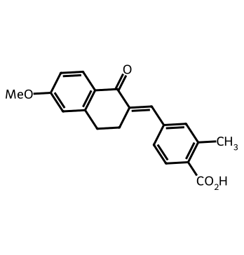 COc1ccc2c(c1)CCC(=Cc1ccc(C(=O)O)c(C)c1)C2=O